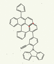 N#Cc1cc(-c2ccccc2-c2ccccc2-c2c3ccccc3c(-c3ccccc3)c3ccccc23)ccc1-n1c2ccccc2c2ccccc21